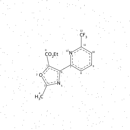 CCOC(=O)c1oc(C)nc1-c1cccc(C(F)(F)F)n1